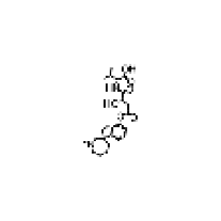 CCC1(c2cccc(OC(=O)[C@@H](C)[C@@H](O)C(=O)N[C@H](C(=O)O)C(C)C)c2)CCCCN(C)C1